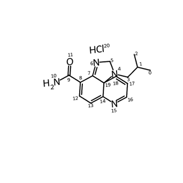 CC(C)CN1CN=C2C(C(N)=O)=CC=C3N=CC=CC321.Cl